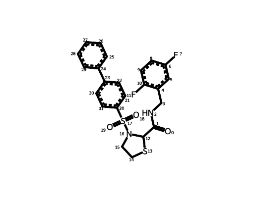 O=C(NCc1cc(F)ccc1F)C1SCCN1S(=O)(=O)c1ccc(-c2ccccc2)cc1